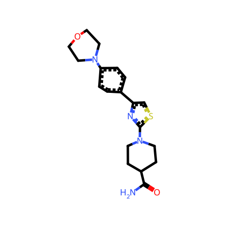 NC(=O)C1CCN(c2nc(-c3ccc(N4CCOCC4)cc3)cs2)CC1